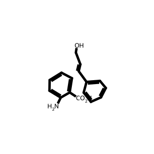 Nc1ccccc1C(=O)O.OCC=Cc1ccccc1